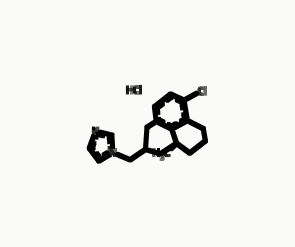 CC12CCCc3c(Cl)ccc(c31)CC(Cn1ccnc1)C2.Cl